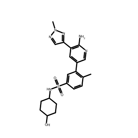 Cc1ccc(S(=O)(=O)NC2CCC(O)CC2)cc1-c1cnc(N)c(-c2cnn(C)n2)c1